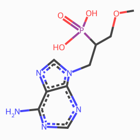 COCC(Cn1cnc2c(N)ncnc21)P(=O)(O)O